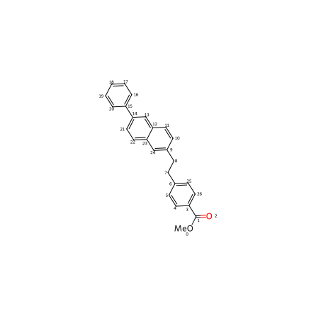 COC(=O)c1ccc(CCc2ccc3cc(-c4ccccc4)ccc3c2)cc1